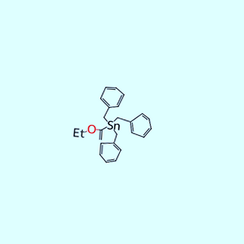 C=[C](OCC)[Sn]([CH2]c1ccccc1)([CH2]c1ccccc1)[CH2]c1ccccc1